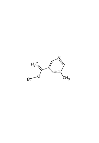 C=C(OCC)c1cncc(C)c1